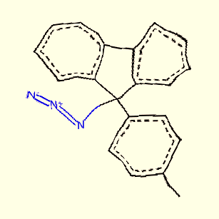 Cc1ccc(C2(N=[N+]=[N-])c3ccccc3-c3ccccc32)cc1